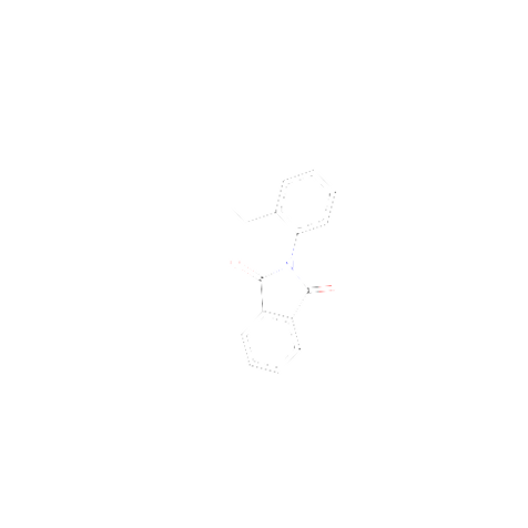 O=CCc1ccccc1N1C(=O)c2ccccc2C1=O